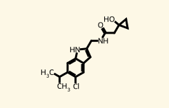 CC(C)c1cc2[nH]c(CNC(=O)CC3(O)CC3)cc2cc1Cl